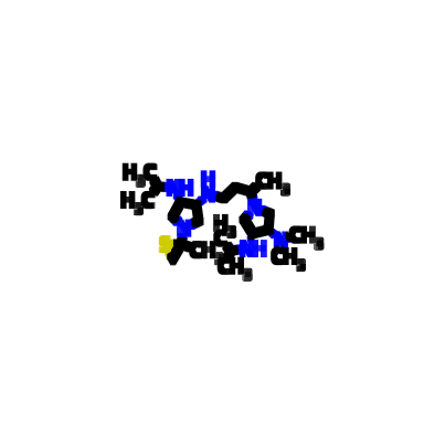 CC(C)N[C@@H]1CN(C2(C)CS2)C[C@@H]1NCCC(C)N1C[C@@H](N(C)C)[C@H](NC(C)C)C1